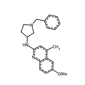 COc1ccc2nc(NC3CCN(Cc4ccccc4)C3)cc(C)c2c1